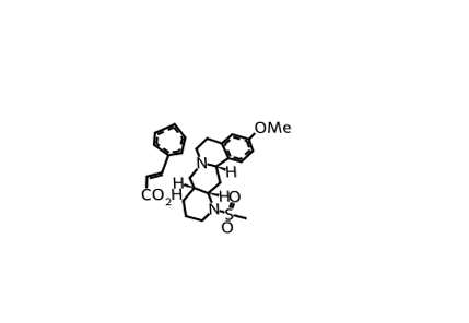 COc1ccc2c(c1)CCN1C[C@H]3CCCN(S(C)(=O)=O)[C@H]3C[C@@H]21.O=C(O)C=Cc1ccccc1